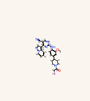 COc1cc(C2CCN(C(=O)CI)CC2)ccc1Nc1ncc(C#N)c(-c2cnn3ccccc23)n1